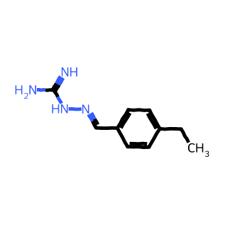 CCc1ccc(/C=N/NC(=N)N)cc1